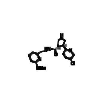 COc1cccc(CCNC(=O)[C@@H]2CNC[C@H]2c2ccc(Cl)cn2)n1